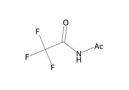 CC(=O)NC(=O)C(F)(F)F